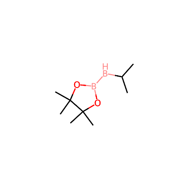 CC(C)BB1OC(C)(C)C(C)(C)O1